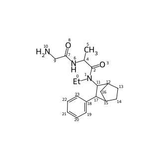 CCN(C(=O)C(C)NC(=O)CN)C1C2CCC(C2)C1c1ccccc1